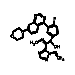 C=Cn1ncnc1/C(=N\C)C(O)c1ccc(F)c(-c2ncnc3cc(N4CCOCC4)ccc23)c1